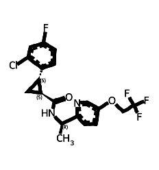 C[C@@H](NC(=O)[C@H]1C[C@@H]1c1ccc(F)cc1Cl)c1ccc(OCC(F)(F)F)cn1